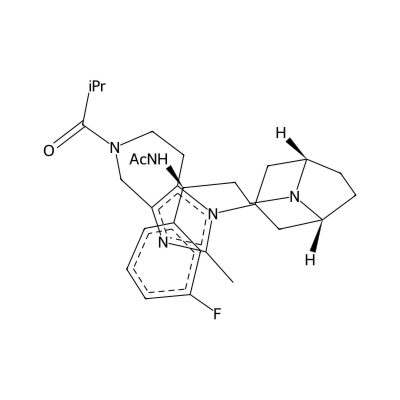 CC(=O)N[C@@H](CCN1[C@@H]2CC[C@H]1CC(n1c(C)nc3c1CCN(C(=O)C(C)C)C3)C2)c1cccc(F)c1